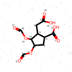 O=COC1CC(C(=O)O)C(CC(=O)O)C1OC=O